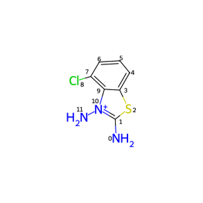 Nc1sc2cccc(Cl)c2[n+]1N